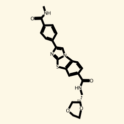 CNC(=O)c1ccc(-c2cn3c(n2)sc2cc(C(=O)NC[C@H]4COCCO4)ccc23)cc1